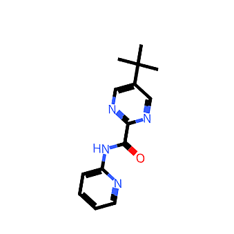 CC(C)(C)c1cnc(C(=O)Nc2ccccn2)nc1